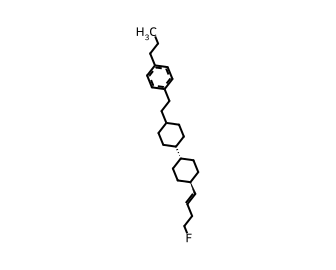 CCCc1ccc(CCC2CCC([C@H]3CC[C@H](/C=C/CCF)CC3)CC2)cc1